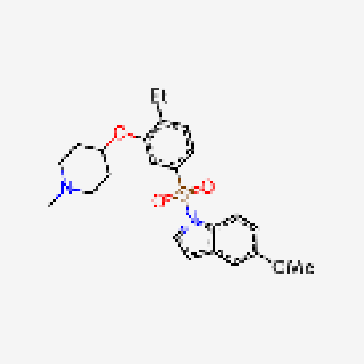 CCc1ccc(S(=O)(=O)n2ccc3cc(OC)ccc32)cc1OC1CCN(C)CC1